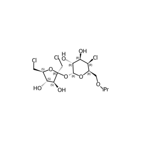 CC(C)OC[C@H]1O[C@H](O[C@]2(CCl)O[C@H](CCl)[C@@H](O)[C@@H]2O)[C@H](O)[C@@H](O)[C@H]1Cl